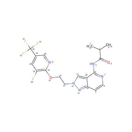 CC(C)C(=O)Nc1nccc2nn(CCOc3ncc(C(F)(F)F)cc3F)cc12